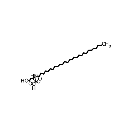 CCCCCCCCCCCCCCCCCCCCCCCCCCCC(=O)NN(CC(=O)O)C(=O)O